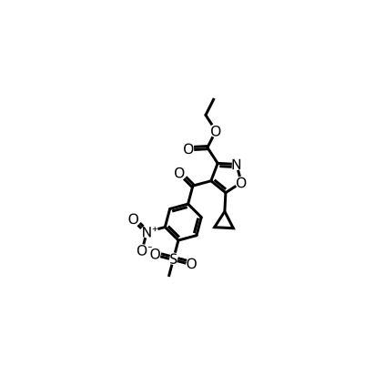 CCOC(=O)c1noc(C2CC2)c1C(=O)c1ccc(S(C)(=O)=O)c([N+](=O)[O-])c1